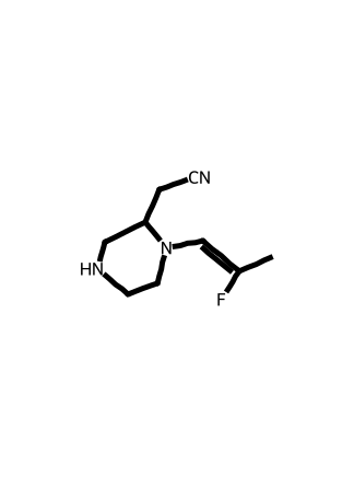 CC(F)=CN1CCNCC1CC#N